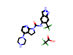 O=C(Nc1cc2c[nH]nc2cc1C(F)(F)F)N1CCc2c(N3CCNCC3)ccnc21.O=C(O)C(F)(F)F